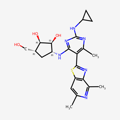 Cc1cc2sc(-c3c(C)nc(NC4CC4)nc3N[C@@H]3C[C@H](CO)[C@@H](O)[C@H]3O)nc2c(C)n1